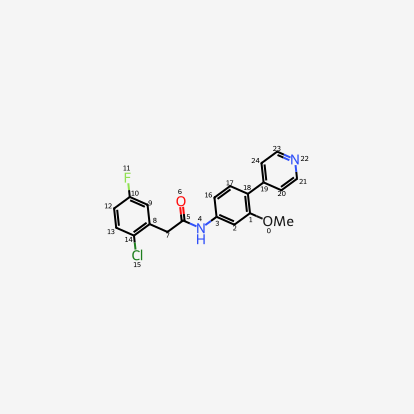 COc1cc(NC(=O)Cc2cc(F)ccc2Cl)ccc1-c1ccncc1